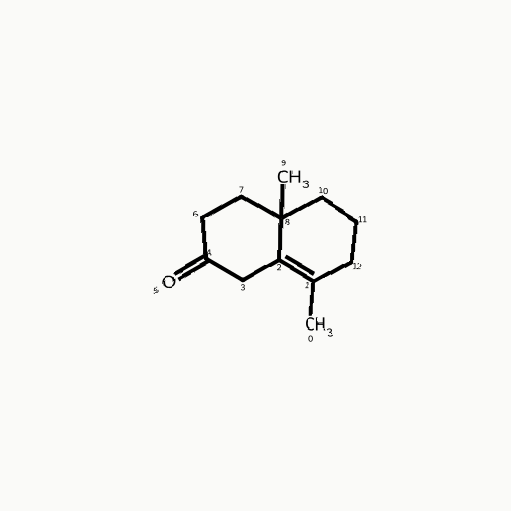 CC1=C2CC(=O)CCC2(C)CCC1